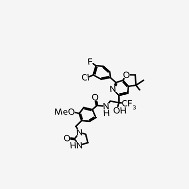 COc1cc(C(=O)NCC(O)(c2cc3c(c(-c4ccc(F)c(Cl)c4)n2)OCC3(C)C)C(F)(F)F)ccc1CN1CCNC1=O